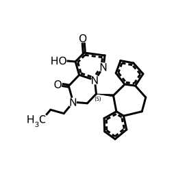 CCCN1C[C@H](C2c3ccccc3CCc3ccccc32)n2ncc(=O)c(O)c2C1=O